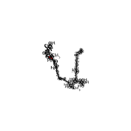 CCc1c2c(nc3ccc(O)cc13)-c1cc3c(c(=O)n1C2)COC(=O)[C@@]3(CC)OC(=O)CNC(=O)COCC(=O)NCCOCCOCCn1cc(CNC(=O)CCCCCO[C@H]2[C@@H](O)[C@@H](O)[C@@H](OC)O[C@@H]2CO[C@H]2O[C@H](CO[C@H]3O[C@H](CO)[C@@H](O)[C@@H](O)[C@H]3O)[C@@H](OCCCCCC(=O)NCCOCCOCCCC(=O)C3CCC(CN4C(=O)C=CC4=O)CC3)[C@@H](O)[C@H]2O)nn1